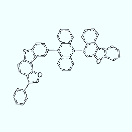 c1ccc(-c2coc3c2ccc2sc4ccc(-c5c6ccccc6c(-c6cc7oc8ccccc8c7c7ccccc67)c6ccccc56)cc4c23)cc1